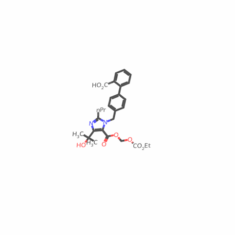 CCCc1nc(C(C)(C)O)c(C(=O)OCOC(=O)OCC)n1Cc1ccc(-c2ccccc2C(=O)O)cc1